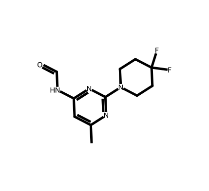 Cc1cc(NC=O)nc(N2CCC(F)(F)CC2)n1